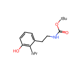 CCCc1c(O)cccc1CCNC(=O)OC(C)(C)C